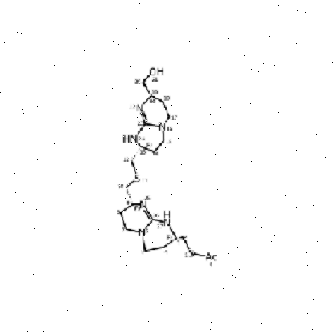 CC(=O)SC[C@H]1CCN2CC[C@H](CSC[C@H]3CCN4CC[C@H](CO)N=C4N3)N=C2N1